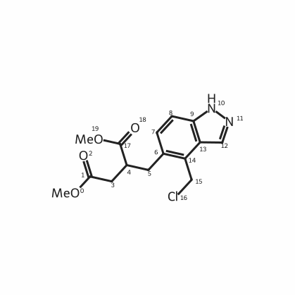 COC(=O)CC(Cc1ccc2[nH]ncc2c1CCl)C(=O)OC